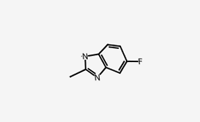 CC1=Nc2cc(F)ccc2[N]1